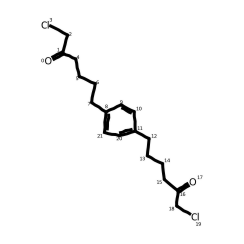 O=C(CCl)CCCCc1ccc(CCCCC(=O)CCl)cc1